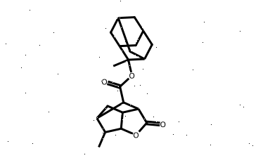 CC1C2CC3C1OC(=O)C3C2C(=O)OC1(C)C2CC3CC(C2)CC1C3